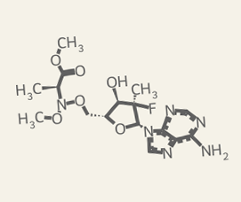 COC(=O)[C@H](C)N(OC)OC[C@H]1O[C@@H](n2cnc3c(N)ncnc32)[C@](C)(F)[C@@H]1O